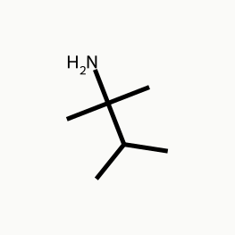 CC(C)C(C)(C)N